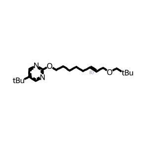 CC(C)(C)COC/C=C/CCCCCOc1ncc(C(C)(C)C)cn1